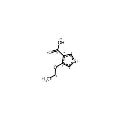 CCOc1cscc1C(=O)O